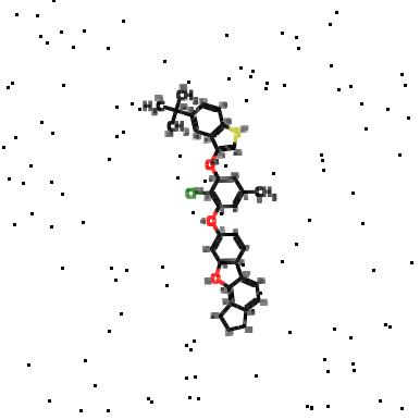 Cc1cc(Oc2ccc3c(c2)oc2c4c(ccc23)CCC4)c(Cl)c(Oc2csc3ccc(C(C)(C)C)cc23)c1